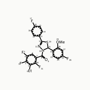 CCc1c(F)c(F)cc(C(=O)N2N=C(c3ccc(F)cc3)SC2c2ccc(F)cc2OC)c1F